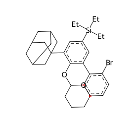 CC[Si](CC)(CC)c1cc(-c2ccccc2Br)c(OC2CCCCO2)c(C23CC4CC(CC(C4)C2)C3)c1